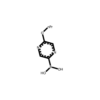 CCCOc1cnc(B(O)O)cn1